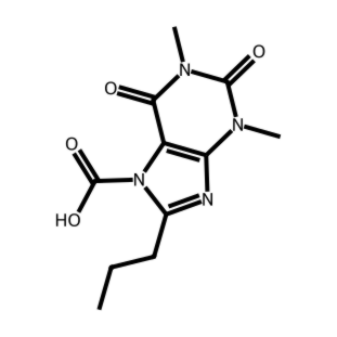 CCCc1nc2c(c(=O)n(C)c(=O)n2C)n1C(=O)O